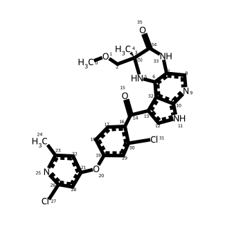 COC[C@]1(C)Nc2c(cnc3[nH]cc(C(=O)c4ccc(Oc5cc(C)nc(Cl)c5)cc4Cl)c23)NC1=O